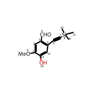 COc1cc(C=O)c(C#C[Si](C)(C)C)cc1O